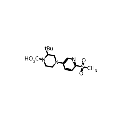 CC(C)(C)C1CN(c2ccc(S(C)(=O)=O)nc2)CCN1C(=O)O